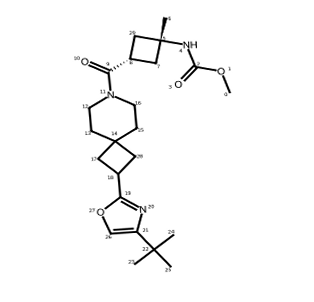 COC(=O)N[C@]1(C)C[C@H](C(=O)N2CCC3(CC2)CC(c2nc(C(C)(C)C)co2)C3)C1